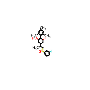 Cc1cc(C)c(C2=C(O)CC(C(C)C[S+]([O-])c3cccc(F)c3)CC2=O)c(C)c1